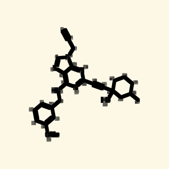 C#CCn1cnc2c(NCc3cccc(OC)c3)nc(C#CC3(O)CCCC(C)C3)nc21